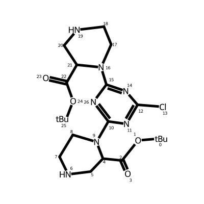 CC(C)(C)OC(=O)C1CNCCN1c1nc(Cl)nc(N2CCNCC2C(=O)OC(C)(C)C)n1